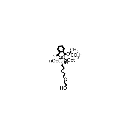 C=CC(=O)O.CCCCCCCCOC(=O)c1ccccc1C(=O)OCCCCCCCC.OCCOCCOCCO